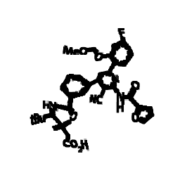 COCOc1cc(F)ccc1-c1cc(-c2cccc(C(=O)NC(C(C)(C)C)C(C)(C)CC(=O)O)c2)c(C#N)c(NC(=O)c2ccco2)n1